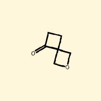 O=C1CCC12COC2